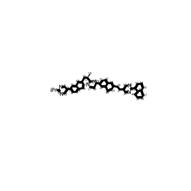 CC(C)c1ncc(-c2ccc3ccc(C[C@@H](C)c4nccc(-c5ccc6cc(CCc7cnc(-c8cccc9ccccc89)nc7)ccc6c5)n4)cc3c2)cn1